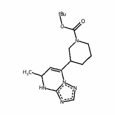 CC1C=C(C2CCCN(C(=O)OC(C)(C)C)C2)n2ncnc2N1